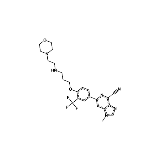 Cn1cnc2c(C#N)nc(-c3ccc(OCCCNCCN4CCOCC4)c(C(F)(F)F)c3)cc21